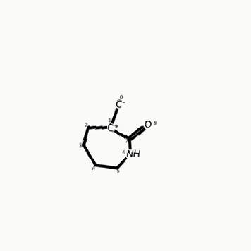 [CH2-][C+]1CCCCNC1=O